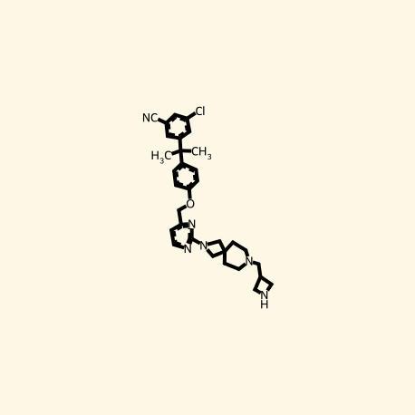 CC(C)(c1ccc(OCc2ccnc(N3CC4(CCN(CC5CNC5)CC4)C3)n2)cc1)c1cc(Cl)cc(C#N)c1